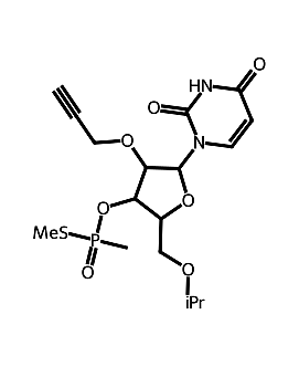 C#CCOC1C(OP(C)(=O)SC)C(COC(C)C)OC1n1ccc(=O)[nH]c1=O